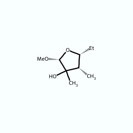 CC[C@H]1O[C@@H](OC)C(C)(O)[C@H]1C